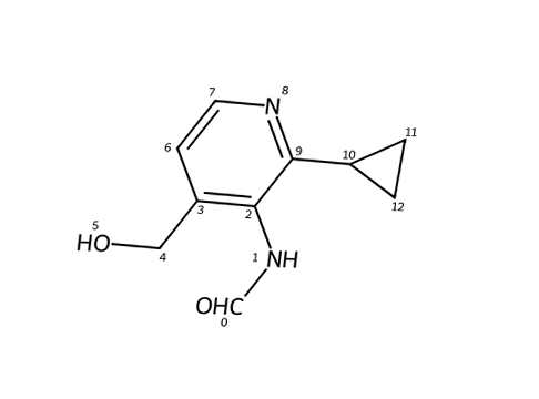 O=CNc1c(CO)ccnc1C1CC1